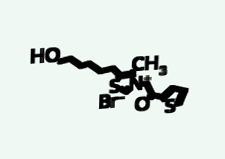 Cc1c(CCCCCCO)sc[n+]1CC(=O)c1cccs1.[Br-]